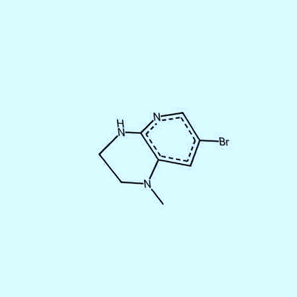 CN1CCNc2ncc(Br)cc21